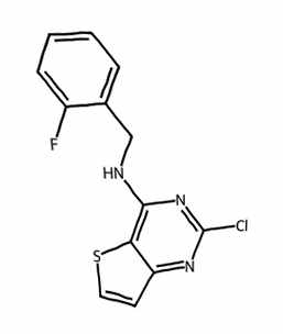 Fc1ccccc1CNc1nc(Cl)nc2ccsc12